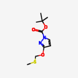 CSCOc1ccn(C(=O)OC(C)(C)C)n1